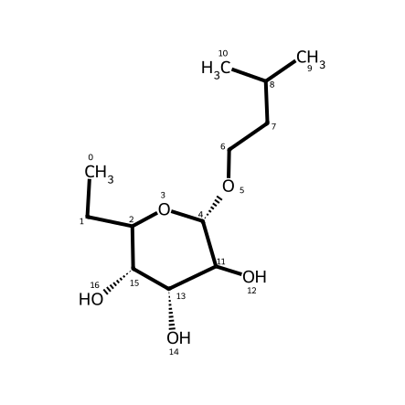 CCC1O[C@H](OCCC(C)C)C(O)[C@H](O)[C@@H]1O